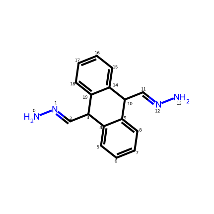 NN=CC1c2ccccc2C(C=NN)c2ccccc21